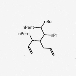 C=CC[C](C(C=C)CCCCC)C(CCC)C(CCCC)CCCCC